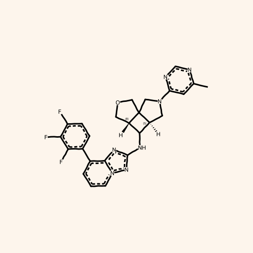 Cc1cc(N2C[C@H]3C(Nc4nc5c(-c6ccc(F)c(F)c6F)cccn5n4)[C@@H]4COCC43C2)ncn1